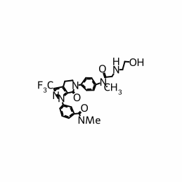 CNC(=O)c1cccc(-n2nc(C(F)(F)F)c3c2C(=O)N(c2ccc(N(C)C(=O)CNCCO)cc2)CC3)c1